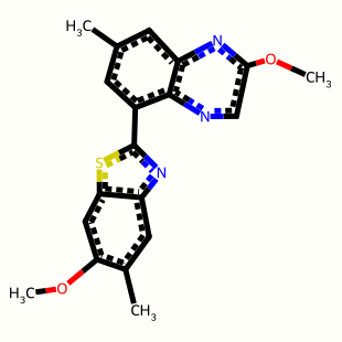 COc1cnc2c(-c3nc4cc(C)c(OC)cc4s3)cc(C)cc2n1